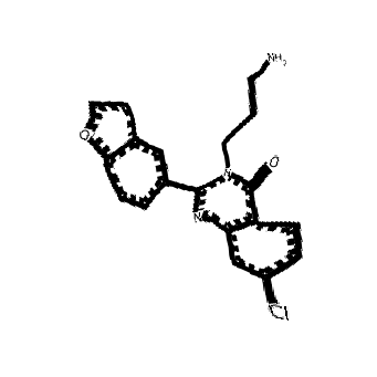 NCCCn1c(-c2ccc3occc3c2)nc2cc(Cl)ccc2c1=O